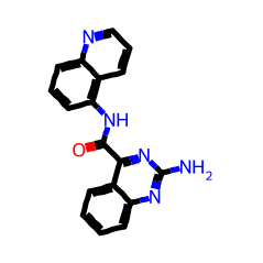 Nc1nc(C(=O)Nc2cccc3ncccc23)c2ccccc2n1